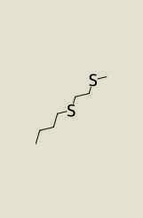 CCCCSCCSC